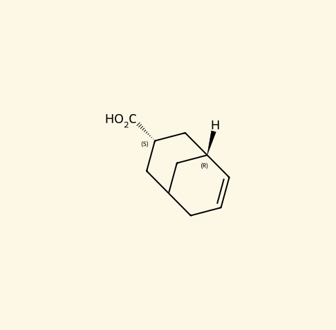 O=C(O)[C@H]1CC2CC=C[C@H](C2)C1